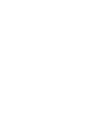 COC(OC)c1cc2cc(-c3ccc4c(c3)COC4=O)ccc2s1